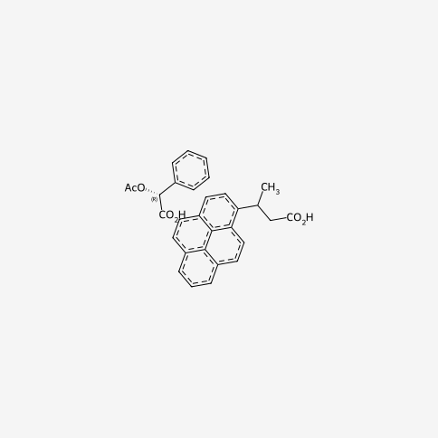 CC(=O)O[C@@H](C(=O)O)c1ccccc1.CC(CC(=O)O)c1ccc2ccc3cccc4ccc1c2c34